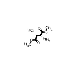 COC(=O)C[C@@H](N)C(=O)OC.Cl